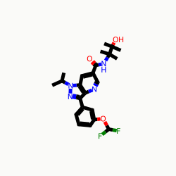 CC(C)n1nc(-c2cccc(OC(F)F)c2)c2ncc(C(=O)NC(C)(C)C(C)(C)O)cc21